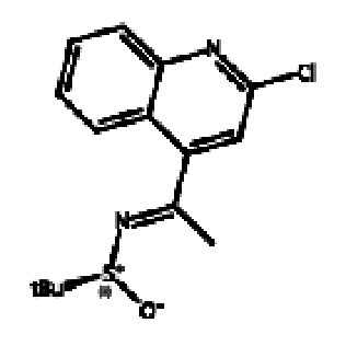 CC(=N[S@@+]([O-])C(C)(C)C)c1cc(Cl)nc2ccccc12